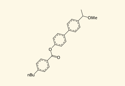 CCCCc1ccc(C(=O)Oc2ccc(-c3ccc(C(C)OC)cc3)cc2)cc1